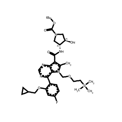 Cc1c(C(=O)N[C@@H]2CN(C(=O)OC(C)(C)C)C[C@H]2O)c2ncnc(-c3ccc(F)cc3OCC3CC3)c2n1COCC[Si](C)(C)C